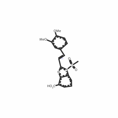 COc1ccc(/C=C/c2nc3c(C(=O)O)cccc3n2S(C)(=O)=O)cc1OC